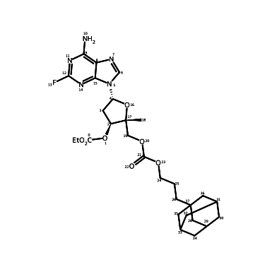 CCOC(=O)O[C@H]1C[C@H](n2cnc3c(N)nc(F)nc32)O[C@]1(C)COC(=O)OCCCC12CC3CC(CC(C3)C1)C2